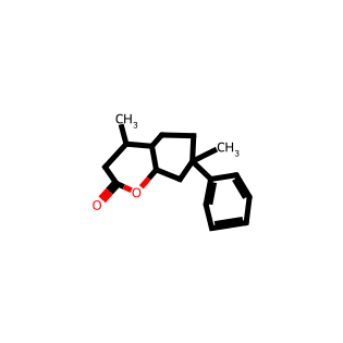 CC1CC(=O)OC2CC(C)(c3ccccc3)CCC12